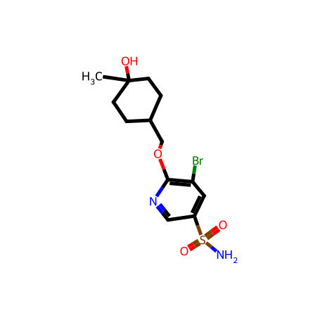 CC1(O)CCC(COc2ncc(S(N)(=O)=O)cc2Br)CC1